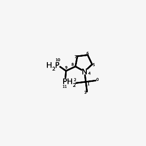 CC(C)(C)N1CCCC1C(P)P